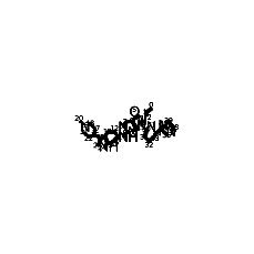 C=CCn1c(=O)c2cnc(Nc3ccc4c(C5CCN(C)CC5)c[nH]c4c3)nc2n1-c1cccc(-c2cnccn2)n1